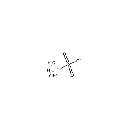 O.O.O=S(=O)([O-])[O-].[Cd+2]